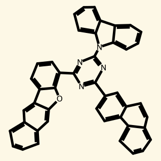 c1ccc2cc3c(cc2c1)oc1c(-c2nc(-c4ccc5c(ccc6ccccc65)c4)nc(-n4c5ccccc5c5ccccc54)n2)cccc13